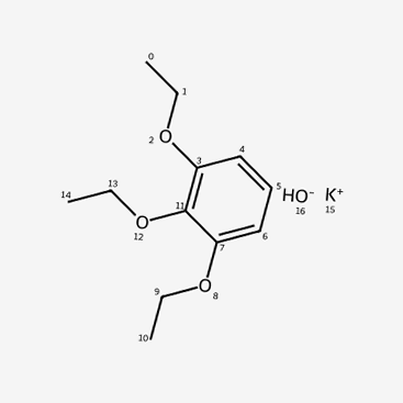 CCOc1cccc(OCC)c1OCC.[K+].[OH-]